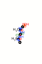 CC1=NN(c2ccccc2)C(=O)/C1=N\Nc1cc(Cl)c(N/N=C2\C(=O)N(c3ccc(S(=O)(=O)O)cc3)N=C2C)cc1Cl